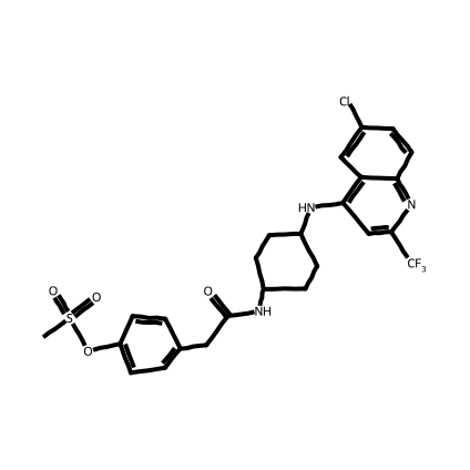 CS(=O)(=O)Oc1ccc(CC(=O)NC2CCC(Nc3cc(C(F)(F)F)nc4ccc(Cl)cc34)CC2)cc1